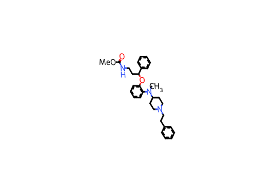 COC(=O)NCCC(Oc1ccccc1N(C)C1CCN(CCc2ccccc2)CC1)c1ccccc1